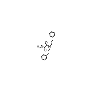 NC(=O)C(=O)N(CCCc1ccccc1)CCCc1ccccc1